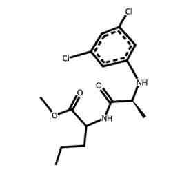 CCCC(NC(=O)[C@H](C)Nc1cc(Cl)cc(Cl)c1)C(=O)OC